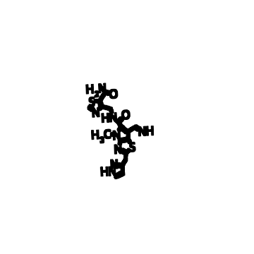 Cn1c(C(=O)NCc2ncsc2C(N)=O)c(C=N)c2sc(Cc3cc[nH]n3)nc21